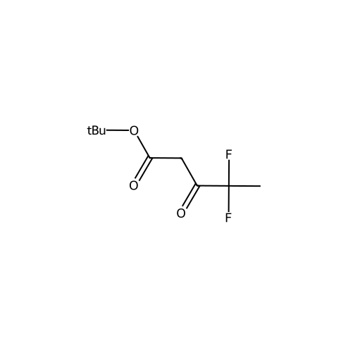 CC(C)(C)OC(=O)CC(=O)C(C)(F)F